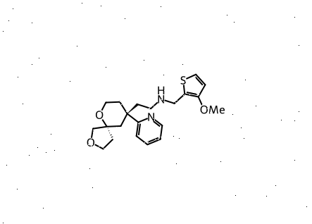 COc1ccsc1CNCC[C@]1(c2ccccn2)CCO[C@@]2(CCOC2)C1